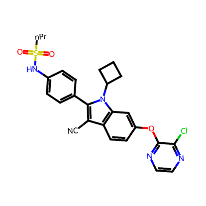 CCCS(=O)(=O)Nc1ccc(-c2c(C#N)c3ccc(Oc4nccnc4Cl)cc3n2C2CCC2)cc1